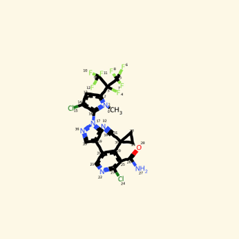 Cn1c(C(F)(C(F)(F)F)C(F)(F)F)cc(Cl)c1-n1cc(-c2cnc(Cl)c(C(N)=O)c2C2(C#N)CC2)cn1